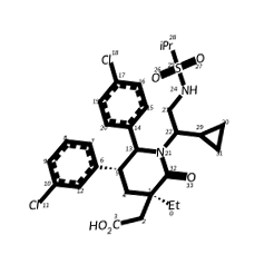 CC[C@]1(CC(=O)O)C[C@H](c2cccc(Cl)c2)C(c2ccc(Cl)cc2)N(C(CNS(=O)(=O)C(C)C)C2CC2)C1=O